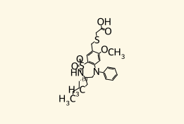 CCCC[C@@]1(CC)CN(c2ccccc2)c2cc(OC)c(CSCC(=O)O)cc2S(=O)(=O)N1